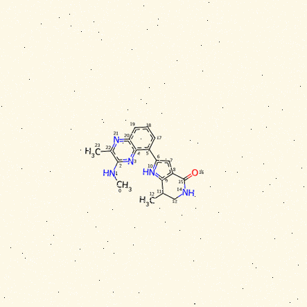 CNc1nc2c(-c3cc4c([nH]3)C(C)CNC4=O)cccc2nc1C